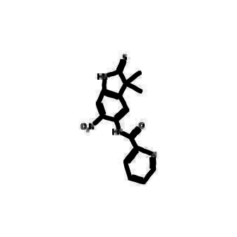 CC1(C)C(=S)Nc2cc([N+](=O)[O-])c(NC(=O)c3ccccn3)cc21